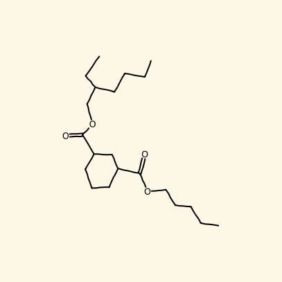 CCCCCOC(=O)C1CCCC(C(=O)OCC(CC)CCCC)C1